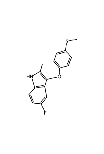 CSc1ccc(Oc2c(C)[nH]c3ccc(F)cc23)cc1